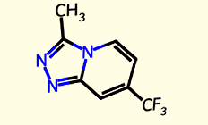 Cc1nnc2cc(C(F)(F)F)ccn12